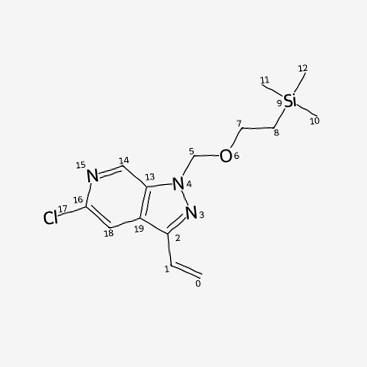 C=Cc1nn(COCC[Si](C)(C)C)c2cnc(Cl)cc12